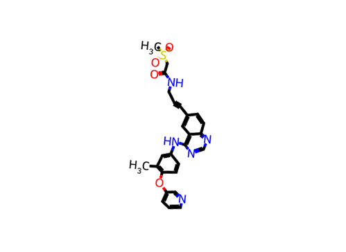 Cc1cc(Nc2ncnc3ccc(C#CCNC(=O)CS(C)(=O)=O)cc23)ccc1Oc1cccnc1